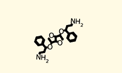 NCCC(OC1COC2C(OC(CCN)c3ccccc3)COC12)c1ccccc1